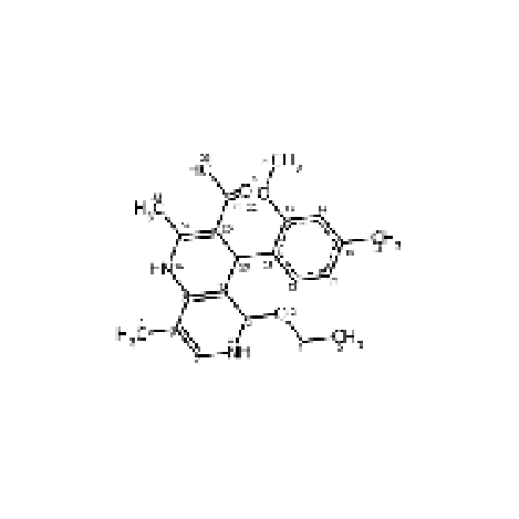 CCOC1NC=C(C)C2=C1C(c1ccc(C)cc1OC)C(C(=O)O)=C(C)N2